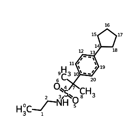 CCCNS(=O)(=O)C(C)(C)c1ccc(C2CCCC2)cc1